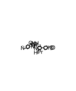 CC(C)c1cc(-c2ccc(N3CCOCC3)cc2)cc(C(C)C)c1NC(=O)N=S(N)(=O)c1ccc(CN(C)C)cc1